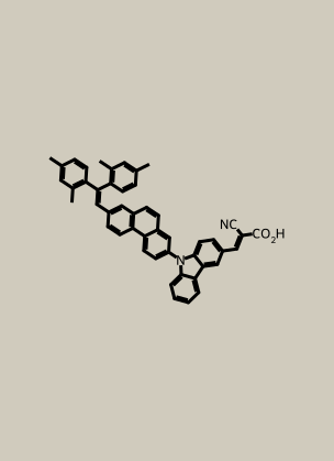 Cc1ccc(C(=Cc2ccc3c(ccc4cc(-n5c6ccccc6c6cc(/C=C(\C#N)C(=O)O)ccc65)ccc43)c2)c2ccc(C)cc2C)c(C)c1